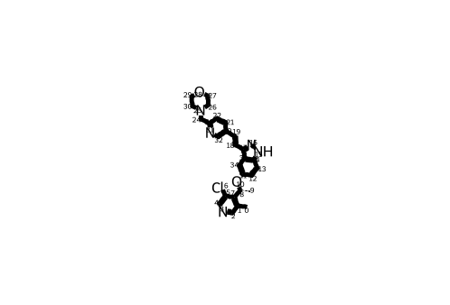 Cc1cncc(Cl)c1[C@@H](C)Oc1ccc2[nH]nc(/C=C/c3ccc(CN4CCOCC4)nc3)c2c1